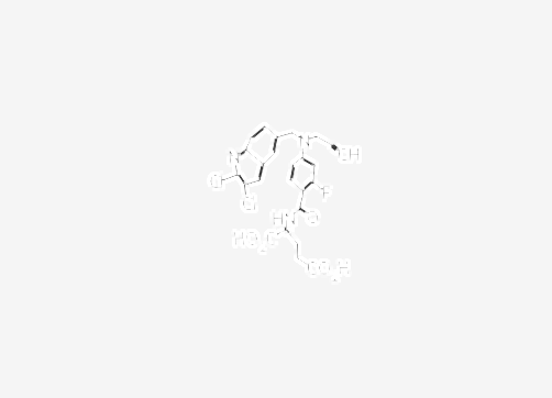 C#CCN(Cc1ccc2nc(Cl)c(Cl)cc2c1)c1ccc(C(=O)N[C@@H](CCC(=O)O)C(=O)O)c(F)c1